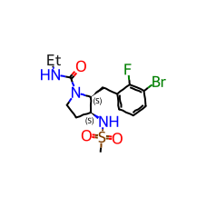 CCNC(=O)N1CC[C@H](NS(C)(=O)=O)[C@@H]1Cc1cccc(Br)c1F